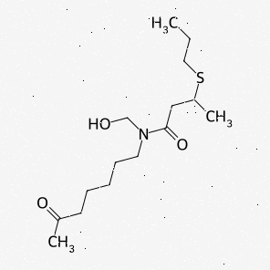 CCCSC(C)CC(=O)N(CO)CCCCCC(C)=O